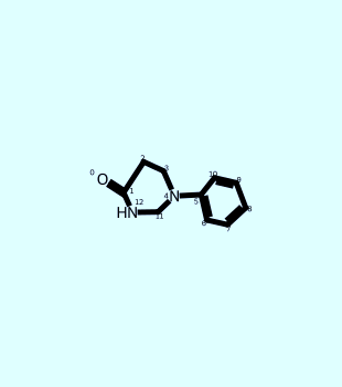 O=C1CCN(c2ccccc2)CN1